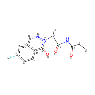 CCC(=O)NC(=O)C(C)n1ncc2cc(F)ccc2c1=O